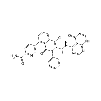 CC(Nc1ncnc2[nH]ccc(=O)c12)c1c(Cl)c2cccc(-c3ccc(C(N)=O)nc3)c2c(=O)n1-c1ccccc1